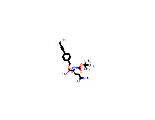 C[C@@H](OCc1ccc(C#CCO)cc1)[C@H](CCC(N)=O)NC(=O)OC(C)(C)C